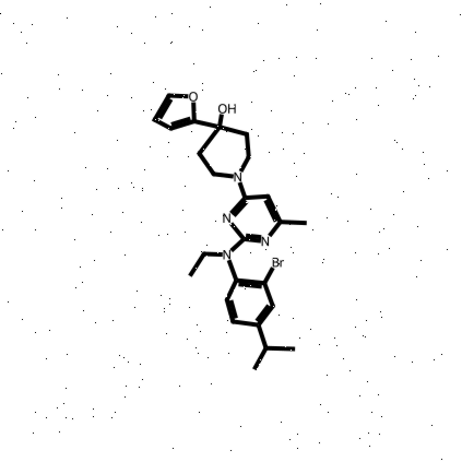 CCN(c1nc(C)cc(N2CCC(O)(c3ccco3)CC2)n1)c1ccc(C(C)C)cc1Br